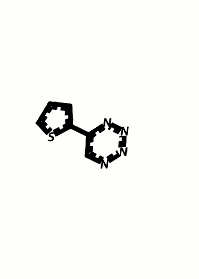 c1csc(-c2cnnnn2)c1